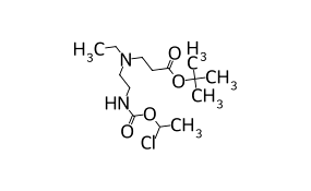 CCN(CCNC(=O)OC(C)Cl)CCC(=O)OC(C)(C)C